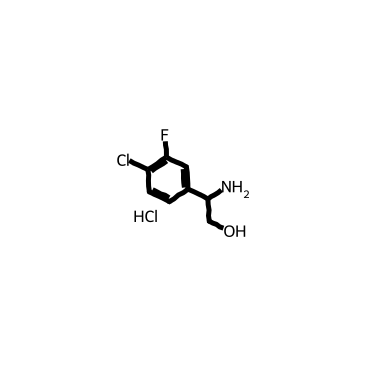 Cl.NC(CO)c1ccc(Cl)c(F)c1